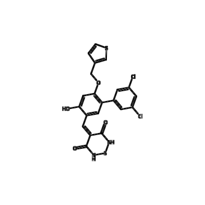 O=C1NSNC(=O)C1=Cc1cc(-c2cc(Cl)cc(Cl)c2)c(OCc2ccsc2)cc1O